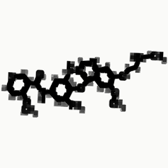 CNCCOc1cc2ncnc(Oc3c(P)cc(NC(=O)c4cnccc4OC)cc3P)c2cc1OC